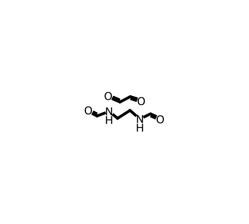 O=CC=O.O=CNCCNC=O